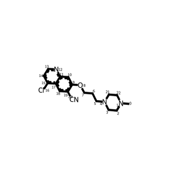 CN1CCN(CCCOc2cc3nccc(Cl)c3cc2C#N)CC1